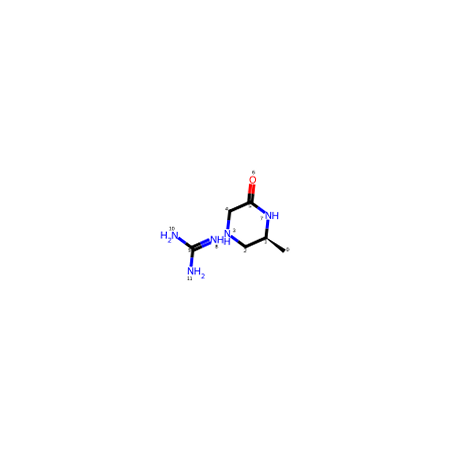 C[C@H]1CNCC(=O)N1.N=C(N)N